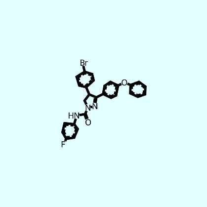 O=C(Nc1ccc(F)cc1)N1CC(c2ccc(Br)cc2)C(c2ccc(Oc3ccccc3)cc2)=N1